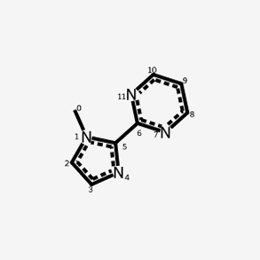 Cn1ccnc1-c1ncccn1